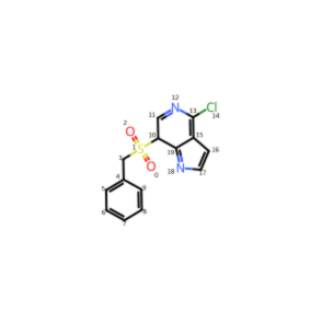 O=S(=O)(Cc1ccccc1)C1C=NC(Cl)=C2C=CN=C21